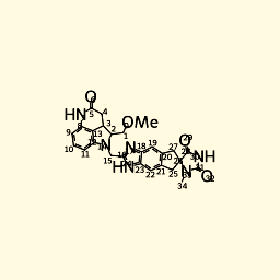 COCC1C2CC(=O)Nc3cccc(c32)N1Cc1nc2cc3c(cc2[nH]1)CC1(C3)C(=O)NC(=O)N1C